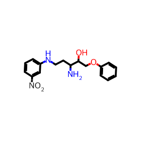 NC(CCNc1cccc([N+](=O)[O-])c1)C(O)COc1ccccc1